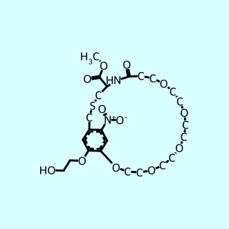 COC(=O)C1CSCc2cc(OCCO)c(cc2[N+](=O)[O-])OCCOCCOCCOCCOCCC(=O)N1